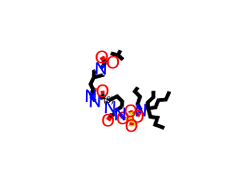 CCCCN(OS(=O)(=O)ON1C(=O)N2CC1CC[C@H]2c1nnc(CC2CN(C(=O)OC(C)(C)C)C2)o1)C(CCC)(CCCC)CCCC